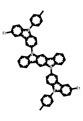 CCc1ccc2c(c1)c1cc(-n3c4ccccc4c4cc5c(cc43)c3ccccc3n5-c3ccc4c(c3)c3cc(CC)ccc3n4-c3ccc(C)cc3)ccc1n2-c1ccc(C)cc1